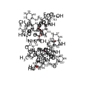 C#CC[C@H](NC(=O)CNC(=O)[C@H](CSCC(=O)N[C@@H](Cc1cc(F)c(F)c(F)c1)C(=O)N(C)[C@@H](Cc1ccccc1)C(=O)N(C)[C@@H](CCCC)C(=O)N1CCC[C@@H]1C(=O)N[C@H](C=O)CC(=O)O)NC(=O)[C@H](CC(C)C)NC(=O)[C@H](Cc1ccc(O)cc1)NC(=O)[C@H](Cc1c[nH]c2ccccc12)NC(=O)[C@H]1CCCN1C1OC1[C@H](CCCN)NC(=O)C(Cc1ccccc1)N(C)C(=O)[C@@H](N)C(C)C)C(N)=O